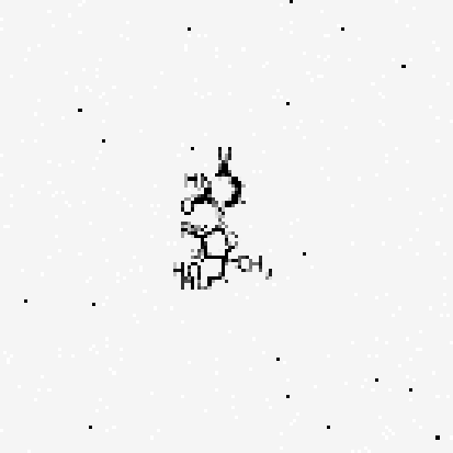 C[C@]1(CO)O[C@@H](n2ccc(=O)[nH]c2=O)C(F)[C@@H]1O